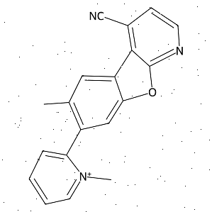 Cc1cc2c(cc1-c1cccc[n+]1C)oc1nccc(C#N)c12